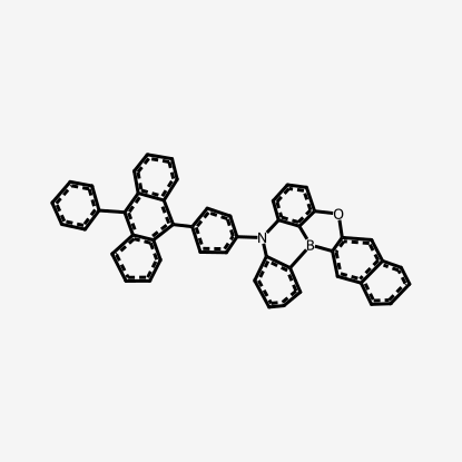 c1ccc(-c2c3ccccc3c(-c3ccc(N4c5ccccc5B5c6cc7ccccc7cc6Oc6cccc4c65)cc3)c3ccccc23)cc1